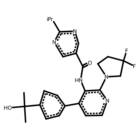 CC(C)c1ncc(C(=O)Nc2c(-c3ccc(C(C)(C)O)cc3)ccnc2N2CCC(F)(F)C2)cn1